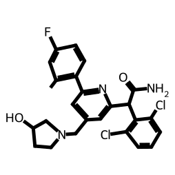 Cc1cc(F)ccc1-c1cc(CN2CCC(O)C2)cc(C(C(N)=O)c2c(Cl)cccc2Cl)n1